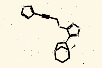 C(#Cc1ccsc1)CSc1nsnc1[C@@H]1CN2CCC[C@H]1C2